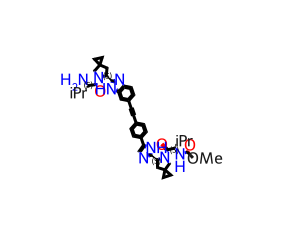 COC(=O)N[C@H](C(=O)N1CC2(CC2)C[C@H]1c1ncc(-c2ccc(C#Cc3ccc4nc([C@@H]5CC6(CC6)CN5C(=O)[C@@H](N)C(C)C)[nH]c4c3)cc2)[nH]1)C(C)C